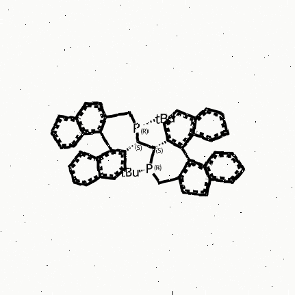 CC(C)(C)[P@@]1Cc2ccc3ccccc3c2-c2c(ccc3ccccc23)[C@H]1[C@@H]1c2ccc3ccccc3c2-c2c(ccc3ccccc23)C[P@]1C(C)(C)C